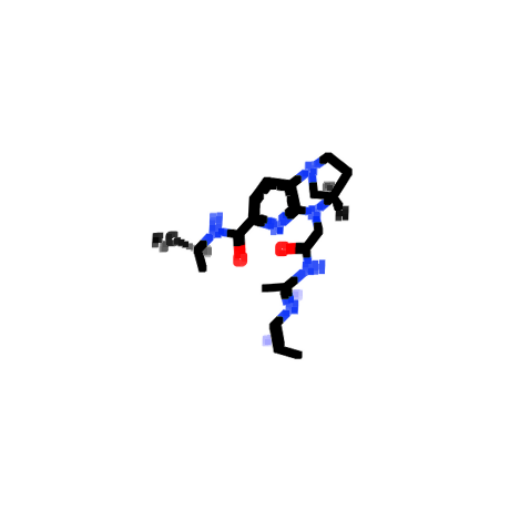 C/C=C\N=C(/C)NC(=O)CN1c2nc(C(=O)N[C@H](C)C(F)(F)F)ccc2N2CC[C@H]1C2